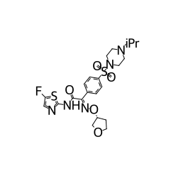 CC(C)N1CCN(S(=O)(=O)c2ccc(/C(=N\O[C@@H]3CCOC3)C(=O)Nc3ncc(F)s3)cc2)CC1